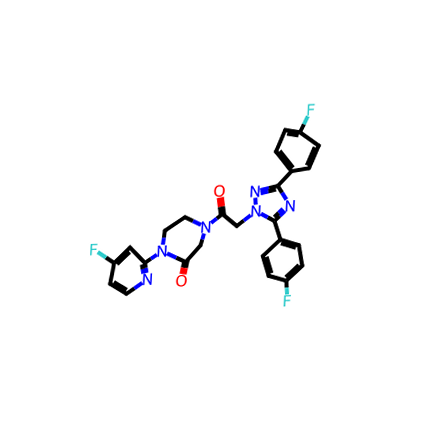 O=C(Cn1nc(-c2ccc(F)cc2)nc1-c1ccc(F)cc1)N1CCN(c2cc(F)ccn2)C(=O)C1